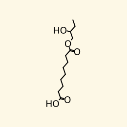 CCC(O)COC(=O)CCCCCCCC(=O)O